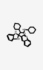 O=C(NC1CCCCC1)C(C1CCCCC1)C1(c2cnc3ccccc3c2)Nc2ccccc2N1